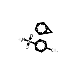 Cc1ccc(S(N)(=O)=O)cc1.c1ccc2c(c1)C2